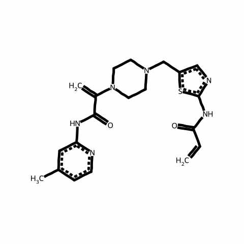 C=CC(=O)Nc1ncc(CN2CCN(C(=C)C(=O)Nc3cc(C)ccn3)CC2)s1